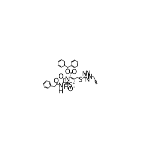 C#CCn1nnc(SCC2=C(C(=O)OC(c3ccccc3)c3ccccc3)N3C(=O)C(NC(=O)Cc4ccccc4)[C@H]3[S+]([O-])C2)n1